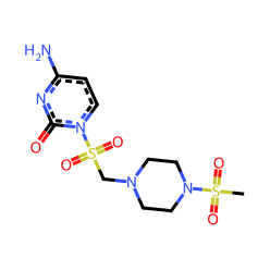 CS(=O)(=O)N1CCN(CS(=O)(=O)n2ccc(N)nc2=O)CC1